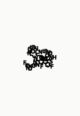 CN(CCCN1c2nc(OC[C@@]34CCCN3C[C@H](F)C4)nc3c(F)c(-c4ccc(F)c5sc(NC(=O)OC(C)(C)C)c(C#N)c45)c(Cl)c(c23)OCC1CC#N)C(=O)OC(C)(C)C